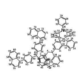 c1ccc(CC(c2ccc3c(c2)-c2ccccc2C32c3ccccc3N(c3ccccc3)c3ccccc32)c2cccc3sc4ccc(C(c5ccc(-c6cccc7ccccc67)cc5)c5ccc(-c6cccc7ccccc67)cc5)cc4c23)cc1